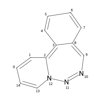 C1=CC2=c3ccccc3=CN=NN2C=C1